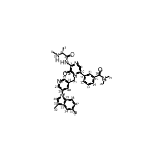 CN[C@@H](C)C(=O)Nc1ncc(-c2cccc(C(=O)N(C)C)c2)n(Cc2cncc(-n3cc(C)c4cc(F)ccc43)c2)c1=O